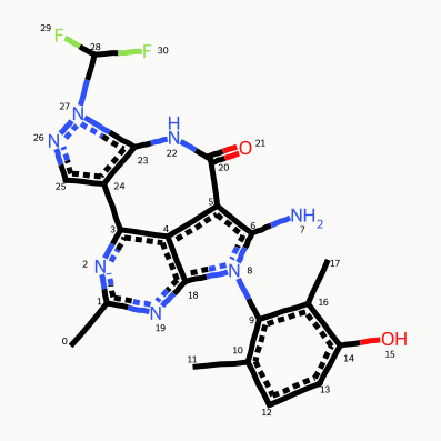 Cc1nc2c3c(c(N)n(-c4c(C)ccc(O)c4C)c3n1)C(=O)Nc1c-2cnn1C(F)F